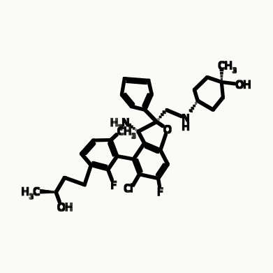 Cc1ccc(CC[C@H](C)O)c(F)c1-c1c(Cl)c(F)cc2c1[C@H](N)[C@@](CN[C@H]1CC[C@](C)(O)CC1)(c1ccccc1)O2